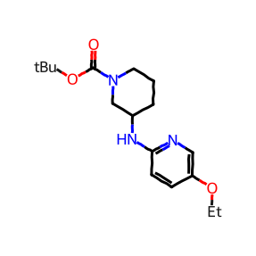 CCOc1ccc(NC2CCCN(C(=O)OC(C)(C)C)C2)nc1